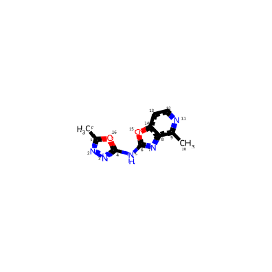 Cc1nnc(Nc2nc3c(C)nccc3o2)o1